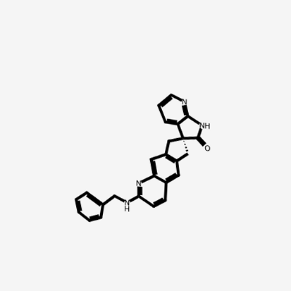 O=C1Nc2ncccc2[C@@]12Cc1cc3ccc(NCc4ccccc4)nc3cc1C2